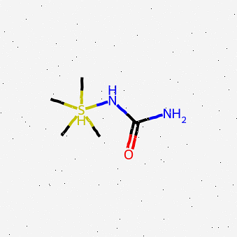 C[SH](C)(C)(C)NC(N)=O